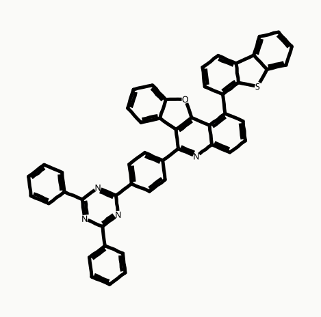 c1ccc(-c2nc(-c3ccccc3)nc(-c3ccc(-c4nc5cccc(-c6cccc7c6sc6ccccc67)c5c5oc6ccccc6c45)cc3)n2)cc1